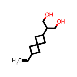 C=CC1CC2(C1)CC(C(CO)CO)C2